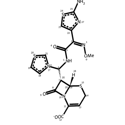 CON=C(C(=O)NC([C@H]1C(=O)N2C(C(=O)[O-])=CCS[C@@H]12)[n+]1ccsc1)c1csc(N)n1